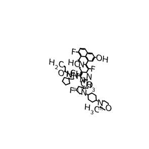 C#Cc1c(F)ccc2cc(O)cc(-c3ncc4c(NCC5(N(C)C(=O)C=C)CCCC5)nc(OC[C@]5(C)C[C@@H](F)CN5C5CCC(N6CCOC[C@@H]6C)CC5)nc4c3F)c12